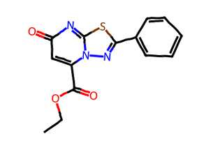 CCOC(=O)c1cc(=O)nc2sc(-c3ccccc3)nn12